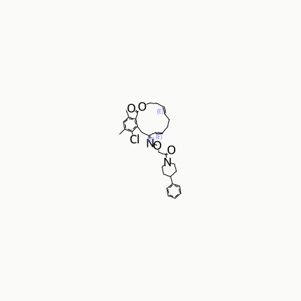 Cc1cc(C)c2c(c1Cl)CC(=N/OCC(=O)N1CCC(c3ccccc3)CC1)/C=C/CC/C=C/CCOC2=O